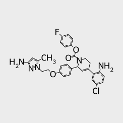 Cc1cc(N)nn1CCOc1ccc(C2C=C(c3cc(Cl)ccc3N)CCN2C(=O)Oc2ccc(F)cc2)cc1